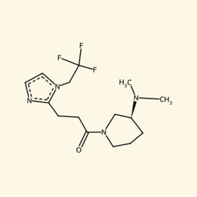 CN(C)[C@H]1CCCN(C(=O)CCc2nccn2CC(F)(F)F)C1